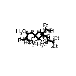 CCC(CC)C(C)CC(C(=O)O)C(O)(C(=O)O)C(CC(C)C(CC)CC)(CC(C)C(CC)CC)C(=O)O